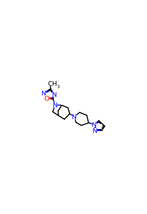 Cc1noc(N2CC3CC(N4CCC(n5cccn5)CC4)CC2C3)n1